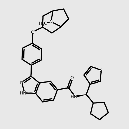 CN1C2CCC1CC(Oc1ccc(-c3n[nH]c4ccc(C(=O)N[C@@H](c5ccsc5)C5CCCC5)cc34)cc1)C2